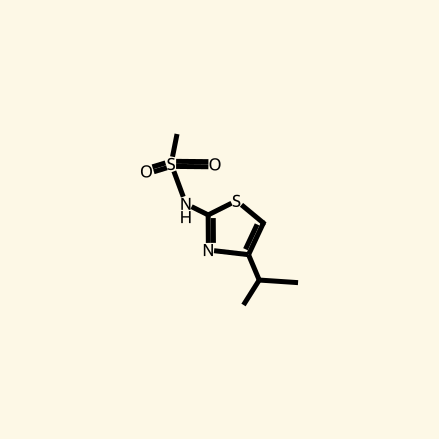 CC(C)c1csc(NS(C)(=O)=O)n1